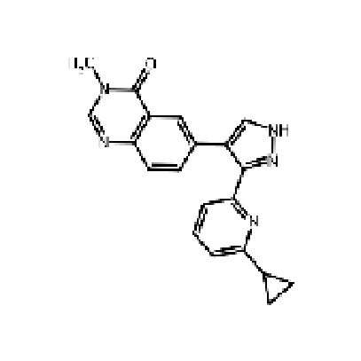 Cn1cnc2ccc(-c3c[nH]nc3-c3cccc(C4CC4)n3)cc2c1=O